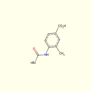 CCCCC(=O)Nc1ccc(C(=O)O)cc1C